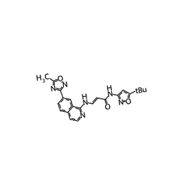 Cc1nc(-c2ccc3ccnc(NC=CC(=O)Nc4cc(C(C)(C)C)on4)c3c2)no1